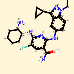 CCn1nc(C2CC2)c2cc(Nc3nc(N[C@@H]4CCCC[C@@H]4N)c(F)cc3C(N)=O)ccc21